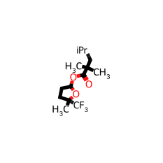 CC(C)CC(C)(C)C(=O)OC1CCC(C)(C(F)(F)F)O1